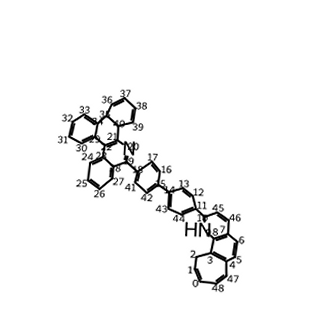 C1=CCc2c(ccc3c2NC(c2ccc(-c4ccc(-c5nc6c(c7ccccc57)-c5ccccc5C5C=CC=CC65)cc4)cc2)C=C3)C=C1